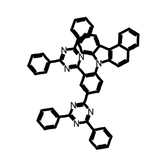 c1ccc(-c2nc(-c3ccccc3)nc(-c3ccc(-n4c5ccccc5c5c6ccccc6ccc54)c(-c4nc(-c5ccccc5)nc(-c5ccccc5)n4)c3)n2)cc1